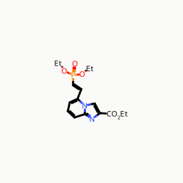 CCOC(=O)c1cn2c(C=CP(=O)(OCC)OCC)cccc2n1